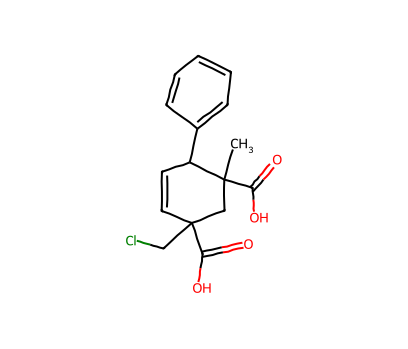 CC1(C(=O)O)CC(CCl)(C(=O)O)C=CC1c1ccccc1